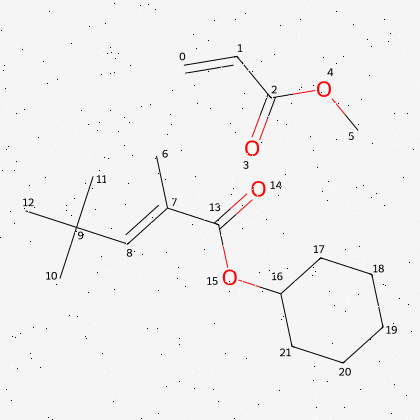 C=CC(=O)OC.CC(=CC(C)(C)C)C(=O)OC1CCCCC1